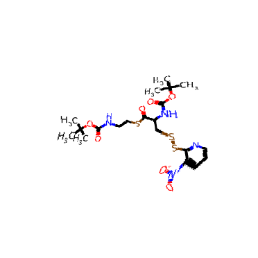 CC(C)(C)OC(=O)NCCSC(=O)C(CSSc1ncccc1[N+](=O)[O-])NC(=O)OC(C)(C)C